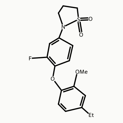 CCc1ccc(Oc2ccc(N3CCCS3(=O)=O)cc2F)c(OC)c1